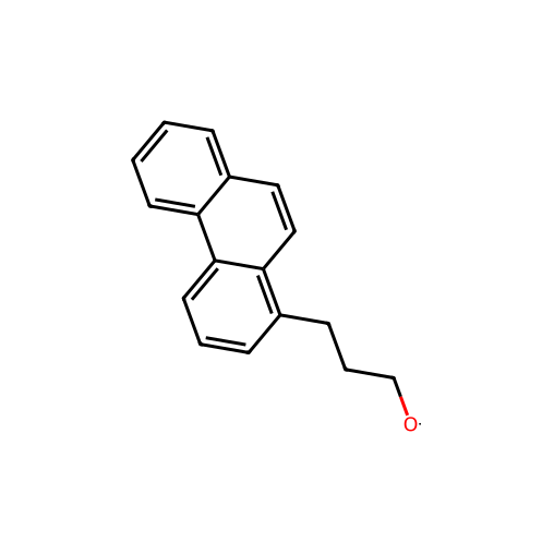 [O]CCCc1cccc2c1ccc1ccccc12